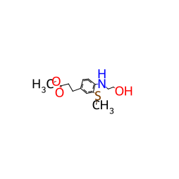 COC(=O)CCc1ccc(NCCO)c(SC)c1